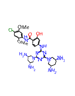 COc1cc(NC(=O)c2ccc(Nc3nc(N4C[C@H](N)C[C@H](N)C4)nc(N4C[C@H](N)C[C@H](N)C4)n3)cc2O)c(OC)cc1Cl